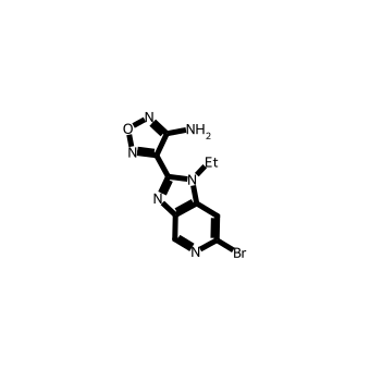 CCn1c(-c2nonc2N)nc2cnc(Br)cc21